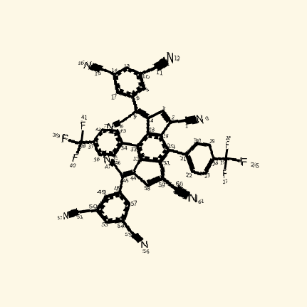 N#CC1=C/C(=C(/C#N)c2cc(C#N)cc(C#N)c2)c2c1c(C1=CC=C(C(F)(F)F)CC1)c1c(c2-c2ccc(C(F)(F)F)cc2)/C(=C(\C#N)c2cc(C#N)cc(C#N)c2)C=C1C#N